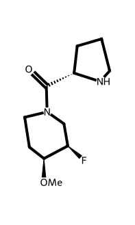 CO[C@H]1CCN(C(=O)[C@@H]2CCCN2)C[C@H]1F